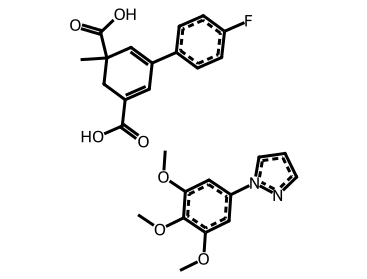 CC1(C(=O)O)C=C(c2ccc(F)cc2)C=C(C(=O)O)C1.COc1cc(-n2cccn2)cc(OC)c1OC